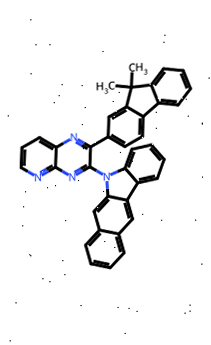 CC1(C)c2ccccc2-c2ccc(-c3nc4cccnc4nc3-n3c4ccccc4c4cc5ccccc5cc43)cc21